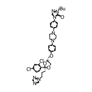 CCC(C)n1ncn(-c2ccc(N3CCN(c4ccc(OC[C@@H]5CO[C@@](CCCn6cncn6)(c6ccc(Cl)cc6Cl)O5)cc4)CC3)cc2)c1=O